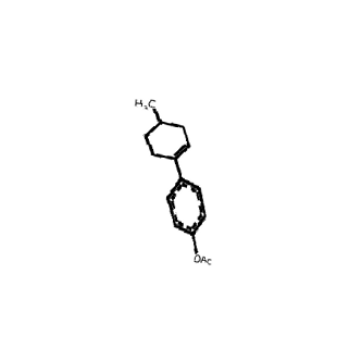 CC(=O)Oc1ccc(C2=CCC(C)CC2)cc1